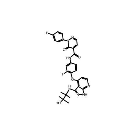 CC(C)(O)C(C)(C)Nc1n[nH]c2nccc(Oc3ccc(NC(=O)c4ccnn(-c5ccc(F)cc5)c4=O)cc3F)c12